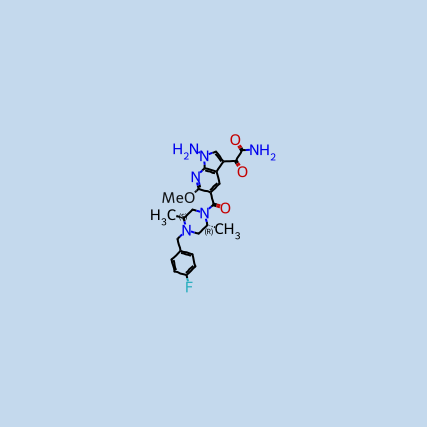 COc1nc2c(cc1C(=O)N1C[C@H](C)N(Cc3ccc(F)cc3)C[C@H]1C)c(C(=O)C(N)=O)cn2N